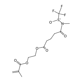 C=C(C)C(=O)OCCOC(=O)CCCC(=O)N(C)[S+]([O-])C(F)(F)F